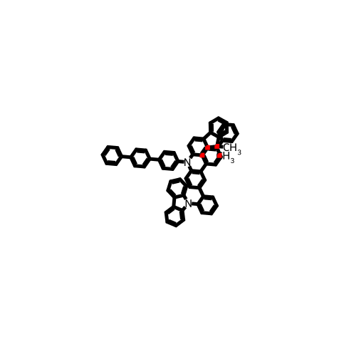 CC1(C)c2ccccc2-c2ccc(N(c3ccc(-c4ccc(-c5ccccc5)cc4)cc3)c3ccc(-c4ccccc4-n4c5ccccc5c5ccccc54)cc3-c3ccc(-c4ccccc4)cc3)cc21